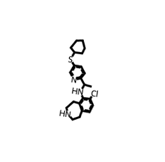 CC(Nc1c(Cl)ccc2c1CCNCC2)c1ccc(SC2CCCCC2)cn1